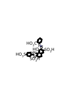 O=C(O)c1ccccc1/N=N/c1c(S(=O)(=O)O)cc2ccc3nc(-c4ccc(S(=O)(=O)O)cc4S(=O)(=O)O)[nH]c3c2c1O